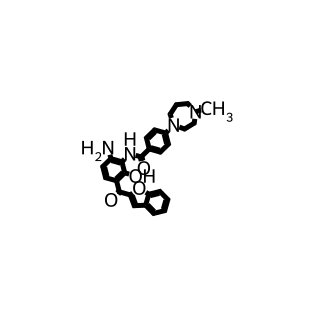 CN1CCCN(c2ccc(C(=O)Nc3c(N)ccc(C(=O)c4cc5ccccc5o4)c3O)cc2)CC1